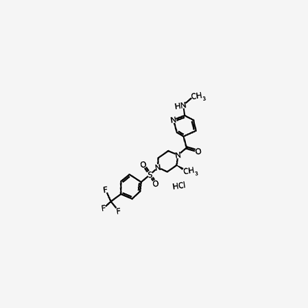 CNc1ccc(C(=O)N2CCN(S(=O)(=O)c3ccc(C(F)(F)F)cc3)C[C@@H]2C)cn1.Cl